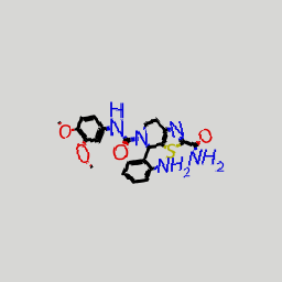 COc1ccc(NC(=O)N2CCc3nc(C(N)=O)sc3C2c2ccccc2N)cc1OC